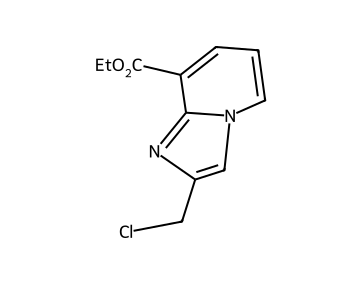 CCOC(=O)c1cccn2cc(CCl)nc12